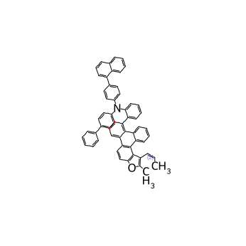 C/C=C\c1c(C)oc2ccc3c4cccc(-c5ccccc5N(c5ccc(-c6ccccc6)cc5)c5ccc(-c6cccc7ccccc67)cc5)c4c4ccccc4c3c12